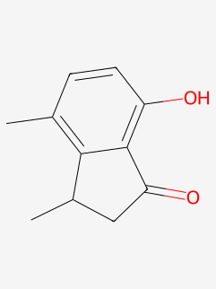 Cc1ccc(O)c2c1C(C)CC2=O